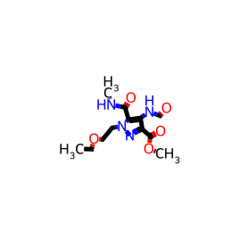 CCOCCn1nc(C(=O)OC)c(NC=O)c1C(=O)NC